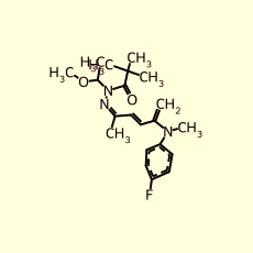 C=C(/C=C/C(C)=N\N(C(=O)C(C)(C)C)C(C)OC)N(C)c1ccc(F)cc1